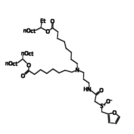 CCCCCCCCC(CC)OC(=O)CCCCCCCN(CCCCCCCC(=O)OC(CCCCCCCC)CCCCCCCC)CCCNC(=O)C[S+]([O-])Cc1ccco1